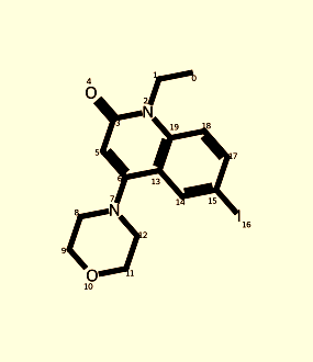 CCn1c(=O)cc(N2CCOCC2)c2cc(I)ccc21